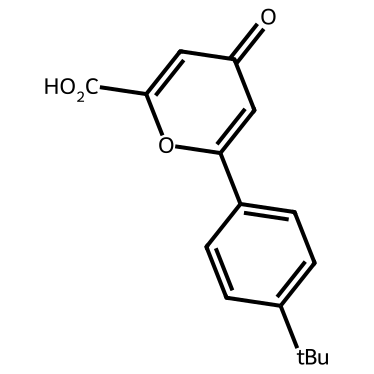 CC(C)(C)c1ccc(-c2cc(=O)cc(C(=O)O)o2)cc1